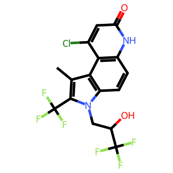 Cc1c(C(F)(F)F)n(CC(O)C(F)(F)F)c2ccc3[nH]c(=O)cc(Cl)c3c12